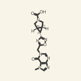 Cn1cnc2ncn(Cc3nc([C@@H]4[C@@H]5CN(C(=O)O)C[C@@H]54)no3)c(=O)c21